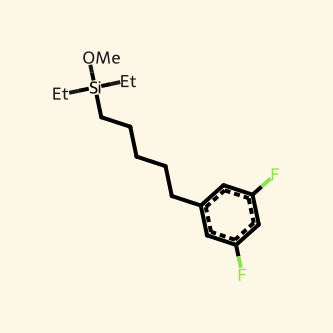 CC[Si](CC)(CCCCCc1cc(F)cc(F)c1)OC